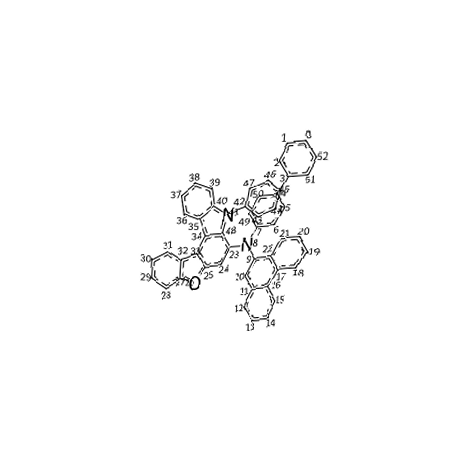 c1ccc(-c2ccc(N(c3cc4ccccc4c4ccccc34)c3cc4oc5ccccc5c4c4c5ccccc5n(-c5ccccc5)c34)cc2)cc1